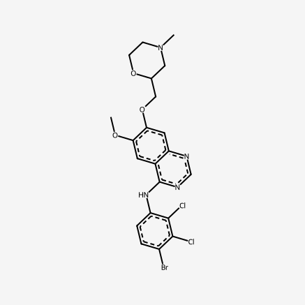 COc1cc2c(Nc3ccc(Br)c(Cl)c3Cl)ncnc2cc1OCC1CN(C)CCO1